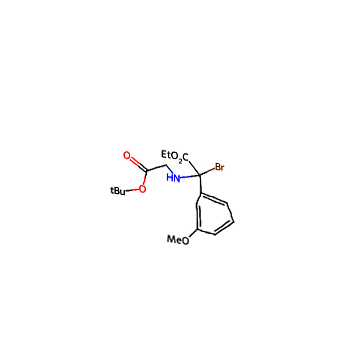 CCOC(=O)C(Br)(NCC(=O)OC(C)(C)C)c1cccc(OC)c1